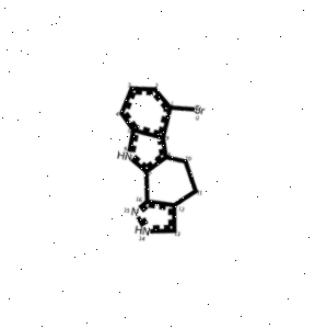 Brc1cccc2[nH]c3c(c12)CCc1c[nH]nc1-3